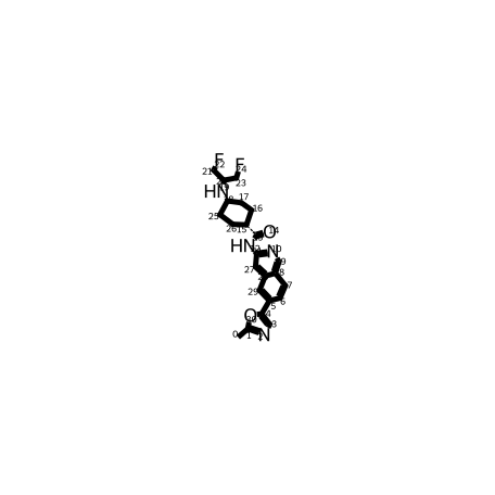 Cc1ncc(-c2ccc3cnc(NC(=O)[C@H]4CC[C@H](NC(CF)CF)CC4)cc3c2)o1